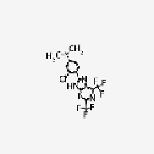 CN(C)c1ccc(-c2nc3c(C(F)(F)F)nc(C(F)(F)F)nc3[nH]2)c(Cl)c1